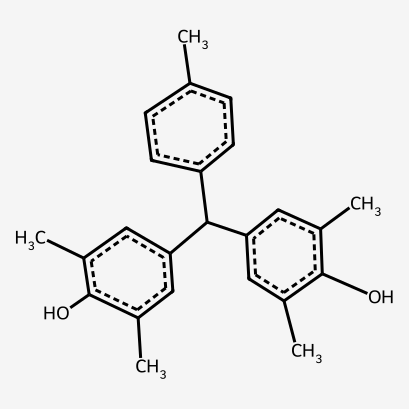 Cc1ccc(C(c2cc(C)c(O)c(C)c2)c2cc(C)c(O)c(C)c2)cc1